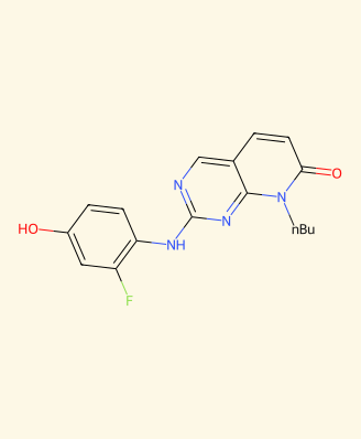 CCCCn1c(=O)ccc2cnc(Nc3ccc(O)cc3F)nc21